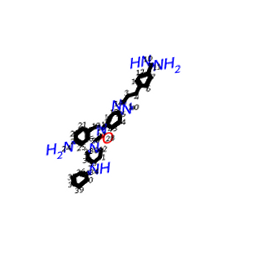 Cn1c(CCc2ccc(C(=N)N)cc2)nc2cc(N(Cc3ccc(N)cc3)C(=O)CN3CCC(Nc4ccccc4)CC3)ccc21